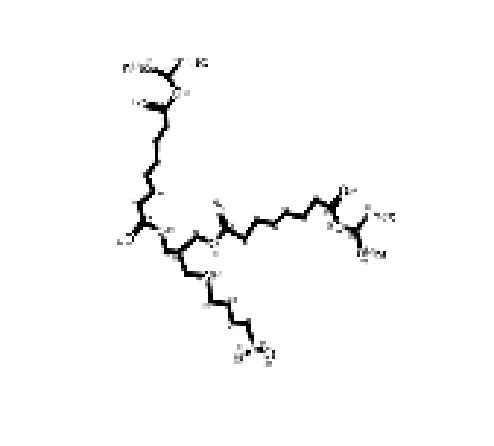 CCCCCCC(CCCCCC)OC(=O)CCCCCCC(=O)OCC(CNCCCCN(CC)CC)COC(=O)CCCCCCC(=O)OC(CCCCCC)CCCCCC